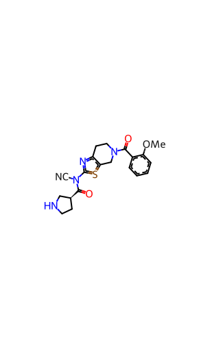 COc1ccccc1C(=O)N1CCc2nc(N(C#N)C(=O)[C@H]3CCNC3)sc2C1